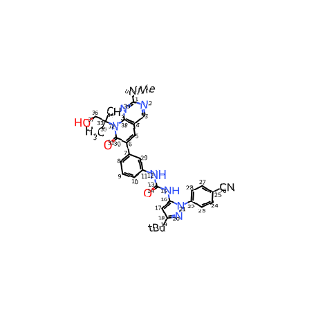 CNc1ncc2cc(-c3cccc(NC(=O)Nc4cc(C(C)(C)C)nn4-c4ccc(C#N)cc4)c3)c(=O)n(C(C)(C)CO)c2n1